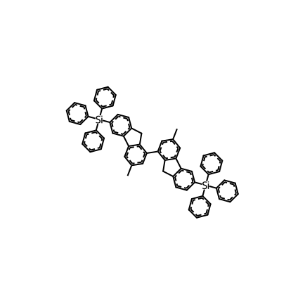 Cc1cc2c(c(-c3cc(C)cc4c3Cc3ccc([Si](c5ccccc5)(c5ccccc5)c5ccccc5)cc3-4)c1)Cc1ccc([Si](c3ccccc3)(c3ccccc3)c3ccccc3)cc1-2